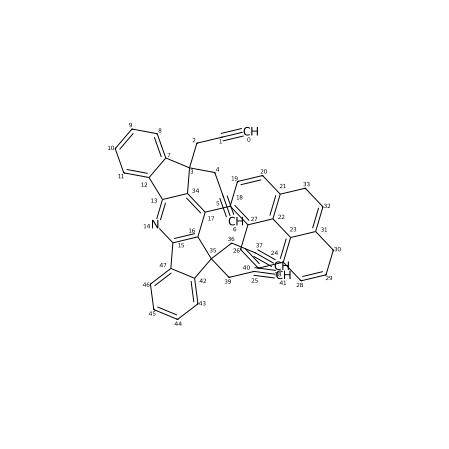 C#CCC1(CC#C)c2ccccc2-c2nc3c(c(-c4ccc5c6c7c(ccc46)C=CCC7=CC5)c21)C(CC#C)(CC#C)c1ccccc1-3